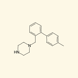 Cc1ccc(-c2ccccc2CN2CCNCC2)cc1